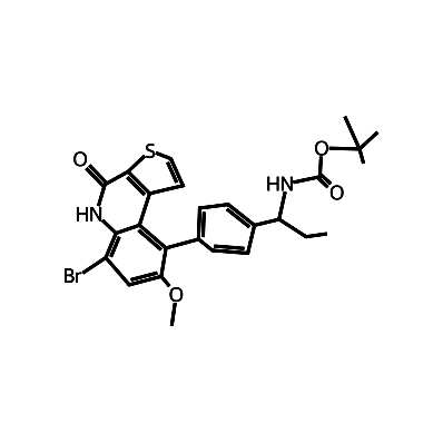 CCC(NC(=O)OC(C)(C)C)c1ccc(-c2c(OC)cc(Br)c3[nH]c(=O)c4sccc4c23)cc1